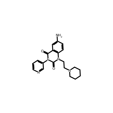 Nc1ccc2c(c1)c(=O)n(-c1cccnc1)c(=O)n2CCN1CCCCC1